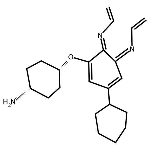 C=C/N=C1/C=C(C2CCCCC2)C=C(O[C@H]2CC[C@@H](N)CC2)/C1=N/C=C